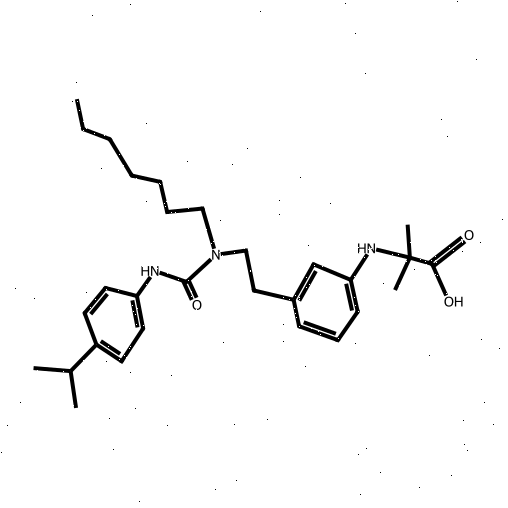 CCCCCCCN(CCc1cccc(NC(C)(C)C(=O)O)c1)C(=O)Nc1ccc(C(C)C)cc1